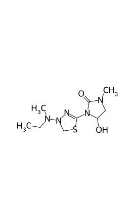 CCN(C)N1CSC(N2C(=O)N(C)CC2O)=N1